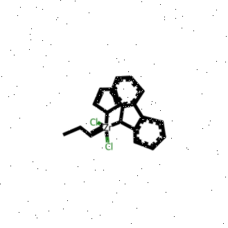 CC[CH]=[Zr]([Cl])([Cl])([CH]1C=CC=C1)[CH]1c2ccccc2-c2ccccc21